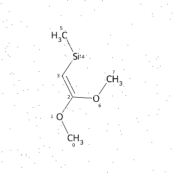 COC(=C[Si]C)OC